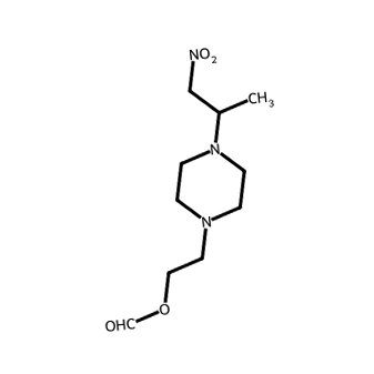 CC(C[N+](=O)[O-])N1CCN(CCOC=O)CC1